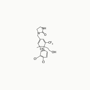 CC1(C(F)(F)F)C=C(CN2CCNC2=O)C=C(C(F)(F)F)C1(CCO)c1ccc(Cl)c(Cl)c1